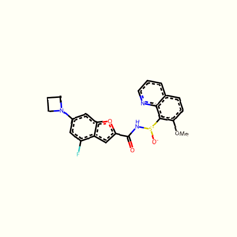 COc1ccc2cccnc2c1[S+]([O-])NC(=O)c1cc2c(F)cc(N3CCC3)cc2o1